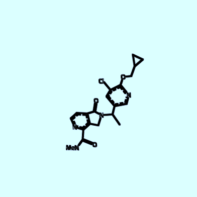 CNC(=O)c1nccc2c1CN(C(C)c1cnc(OCC3CC3)c(Cl)c1)C2=O